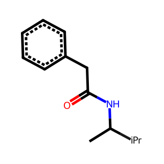 CC(C)C(C)NC(=O)Cc1ccccc1